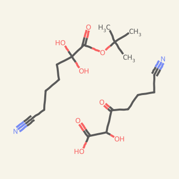 CC(C)(C)OC(=O)C(O)(O)CCCCC#N.N#CCCCC(=O)C(O)C(=O)O